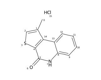 Cc1csc2c(=O)[nH]c3ccccc3c12.Cl